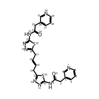 O=C(Cc1cccnc1)Nc1nnc(C/C=C/Cc2nnc(NC(=O)Cc3cccnc3)s2)s1